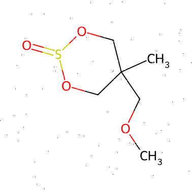 COCC1(C)COS(=O)OC1